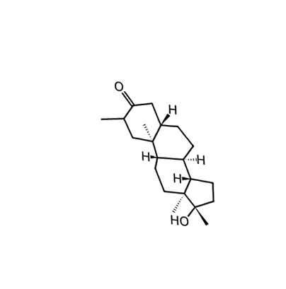 CC1C[C@@]2(C)[C@@H](CC[C@@H]3[C@@H]2CC[C@@]2(C)[C@H]3CC[C@]2(C)O)CC1=O